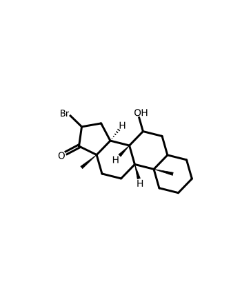 C[C@]12CCCCC1CC(O)[C@@H]1[C@H]2CC[C@]2(C)C(=O)C(Br)C[C@@H]12